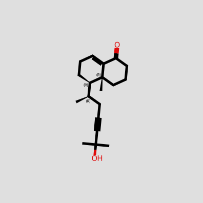 C[C@H](CC#CC(C)(C)O)[C@H]1CCC=C2C(=O)CCC[C@@]21C